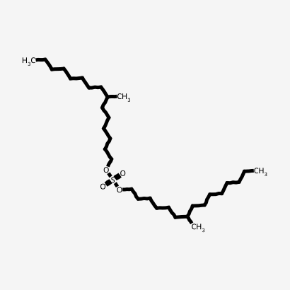 CCCCCCCCC(C)CCCCCCOS(=O)(=O)OCCCCCCC(C)CCCCCCCC